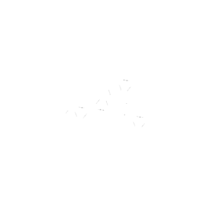 COc1ccccc1C[Si](C)(C)O[Si](C)(C)Cc1ccccc1OC(=O)c1ccc(Cc2ccc(C(C)=O)cc2)cc1